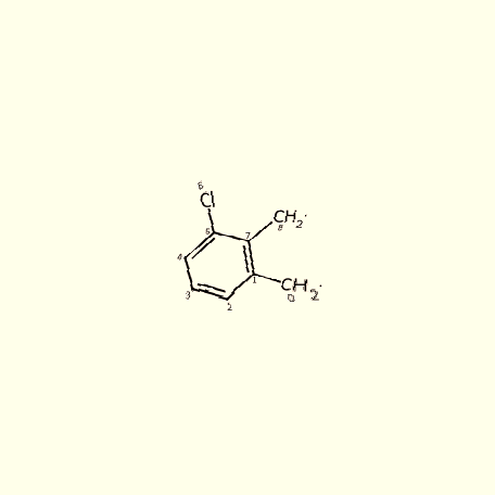 [CH2]c1cccc(Cl)c1[CH2]